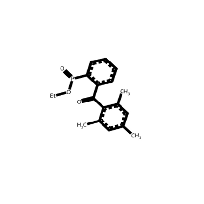 CCO[P](=O)c1ccccc1C(=O)c1c(C)cc(C)cc1C